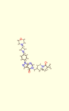 CC1(C(=O)N2CCC(Cn3cnc4c(cnn4-c4ccc(N5CC(N6CCOCC6)C5)cc4)c3=O)CC2)CC1